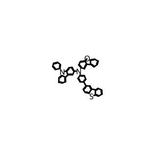 c1ccc(-n2c3ccccc3c3cc(N(c4ccc(-c5ccc6sc7ccccc7c6c5)cc4)c4ccc5oc6ccccc6c5c4)ccc32)cc1